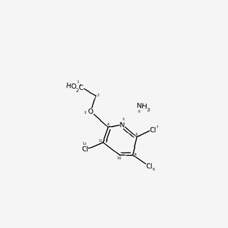 N.O=C(O)COc1nc(Cl)c(Cl)cc1Cl